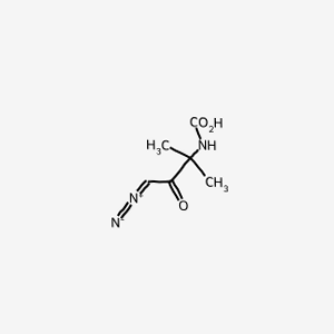 CC(C)(NC(=O)O)C(=O)C=[N+]=[N-]